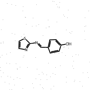 Oc1ccc(C=Nc2nccs2)cc1